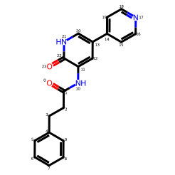 O=C(CCc1ccccc1)Nc1cc(-c2ccncc2)c[nH]c1=O